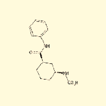 O=C(O)N[C@H]1CCC[C@@H](C(=O)Nc2ccccc2)C1